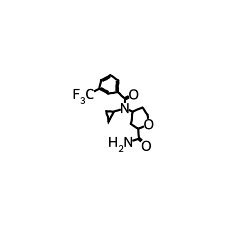 NC(=O)C1CC(N(C(=O)c2cccc(C(F)(F)F)c2)C2CC2)CCO1